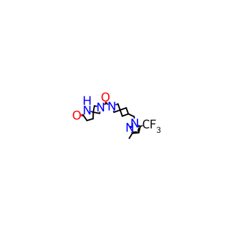 Cc1cc(C(F)(F)F)n(CC2CC3(C2)CN(C(=O)N2CC4(CCC(=O)N4)C2)C3)n1